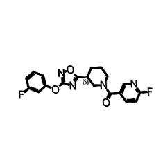 O=C(c1ccc(F)nc1)N1CCC[C@H](c2nc(Oc3cccc(F)c3)no2)C1